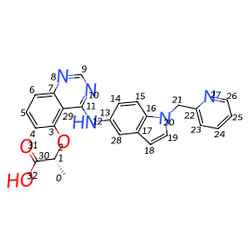 C[C@@H](Oc1cccc2ncnc(Nc3ccc4c(ccn4Cc4ccccn4)c3)c12)C(=O)O